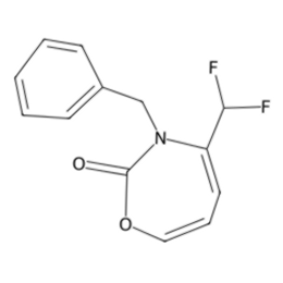 O=C1OC=CC=C(C(F)F)N1Cc1ccccc1